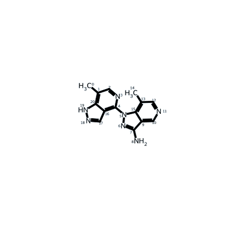 Cc1cnc(-n2nc(N)c3cncc(C)c32)c2cn[nH]c12